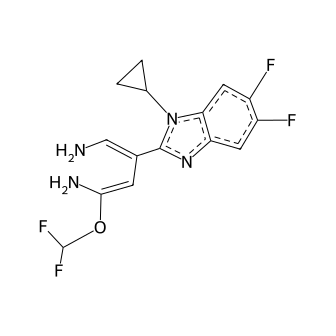 N/C=C(\C=C(/N)OC(F)F)c1nc2cc(F)c(F)cc2n1C1CC1